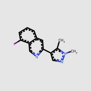 Cc1c(-c2cc3cccc(I)c3cn2)cnn1C